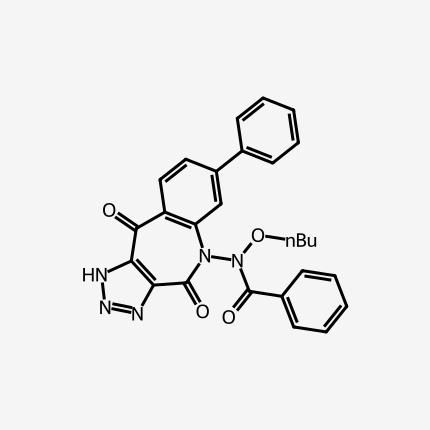 CCCCON(C(=O)c1ccccc1)n1c(=O)c2nn[nH]c2c(=O)c2ccc(-c3ccccc3)cc21